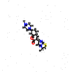 Cc1csc2nc(-c3cc4ccc(N5CCN(C)CC5)cc4oc3=O)cn12